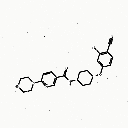 N#Cc1ccc(O[C@H]2CC[C@H](NC(=O)c3ccc(N4CCNCC4)nc3)CC2)cc1Cl